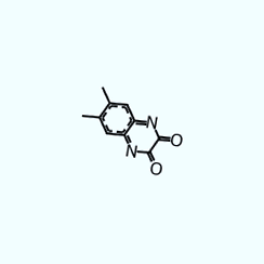 Cc1cc2c(cc1C)=NC(=O)C(=O)N=2